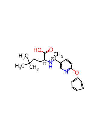 C[C@@H](N[C@@H](CCC(C)(C)C)C(=O)O)c1ccc(Oc2ccccc2)nc1